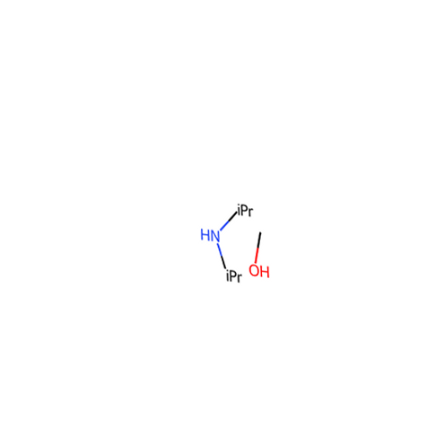 CC(C)NC(C)C.CO